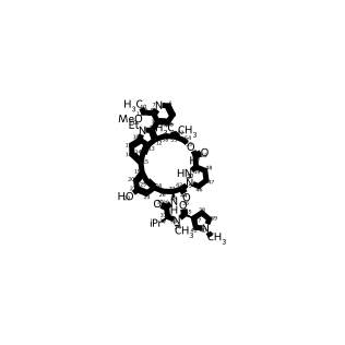 CCn1c(-c2cccnc2[C@H](C)OC)c2c3cc(ccc31)-c1cc(O)cc(c1)C[C@H](NC(=O)[C@H](C(C)C)N(C)C(=O)[C@H]1CCN(C)C1)C(=O)N1CCC[C@H](N1)C(=O)OCC(C)(C)C2